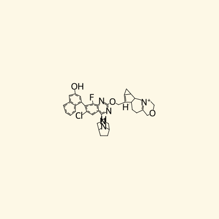 Oc1cc(-c2c(Cl)cc3c(N4CC5CCC(C4)N5)nc(OCC4=C5CC5C5C[N+]6=C(CC[C@@H]45)COCC6)nc3c2F)c2ccccc2c1